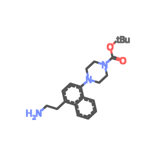 CC(C)(C)OC(=O)N1CCN(c2ccc(CCN)c3ccccc23)CC1